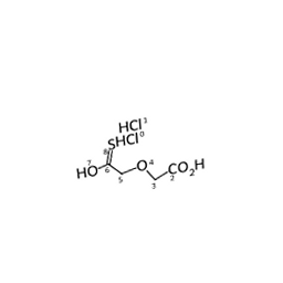 Cl.Cl.O=C(O)COCC(O)=S